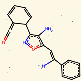 NC(=Cc1onc(C2C=CC=CC2=C=O)c1N)c1ccccc1